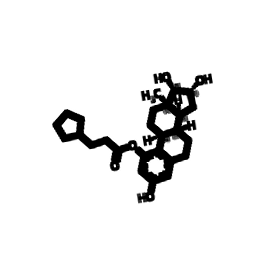 C[C@]12CC[C@@H]3c4c(cc(O)cc4OC(=O)CCC4CCCC4)CC[C@H]3[C@@H]1C[C@@H](O)[C@@H]2O